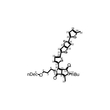 CCCCCCCCCCOCCCN1C(=O)C2=C(C)N(CCCC)C(=O)C2=C1c1ccc(-c2cc3sc(-c4ccc(C)s4)cc3s2)s1